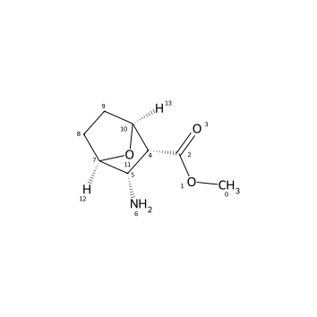 COC(=O)[C@@H]1[C@H](N)[C@H]2CC[C@@H]1O2